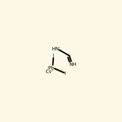 N=C[NH-].[Cs+].[I][Pb][I]